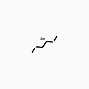 COCCOC.[Sm]